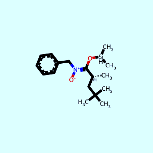 C[C@H](CC(C)(C)C)C(O[SiH](C)C)=[N+]([O-])Cc1ccccc1